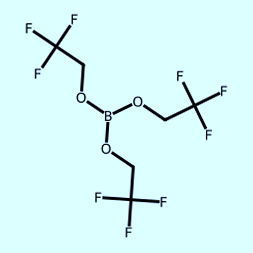 FC(F)(F)COB(OCC(F)(F)F)OCC(F)(F)F